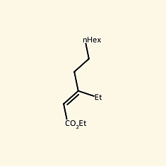 CCCCCCCC/C(=C/C(=O)OCC)CC